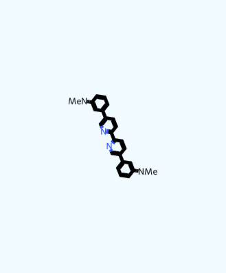 CNc1cccc(-c2ccc(-c3ccc(-c4cccc(NC)c4)cn3)nc2)c1